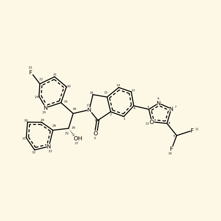 O=C1c2cc(-c3nnc(C(F)F)o3)ccc2CN1C(c1ccc(F)cn1)[C@H](O)c1ccccn1